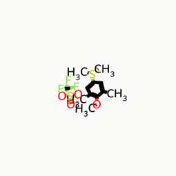 COc1c(C)cc([S+](C)C)cc1C.O=S(=O)([O-])C(F)(F)F